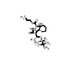 C=CCOC(=O)N(C)C1(O)CCCC[C@@H]1[C@H]1NC(=O)[C@@H]1[C@@H](C)O[Si](C)(C)C(C)(C)C